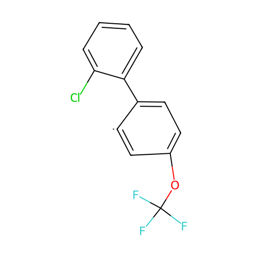 FC(F)(F)Oc1c[c]c(-c2ccccc2Cl)cc1